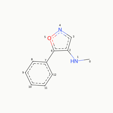 CNc1cnoc1-c1ccccc1